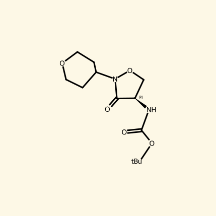 CC(C)(C)OC(=O)N[C@@H]1CON(C2CCOCC2)C1=O